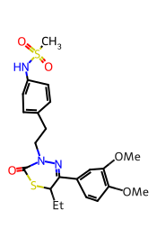 CCC1SC(=O)N(CCc2ccc(NS(C)(=O)=O)cc2)N=C1c1ccc(OC)c(OC)c1